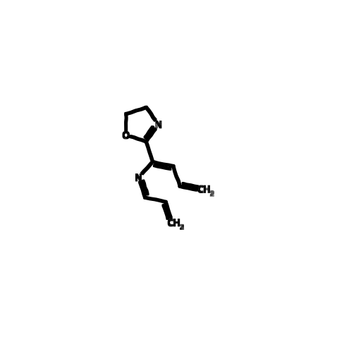 C=C/C=N\C(=C/C=C)C1=NCCO1